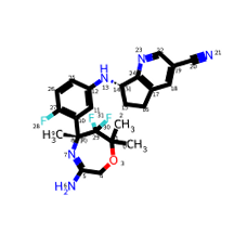 CC1(C)OCC(N)=N[C@](C)(c2cc(N[C@H]3CCc4cc(C#N)cnc43)ccc2F)C1(F)F